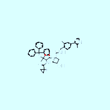 Cc1cc(-c2scnc2C)ccc1CNC(=O)[C@H]1C[C@@H](O)CN1C(=O)[C@@H](NC(=O)C1(F)CC1)C(C)(C)SC(c1ccccc1)(c1ccccc1)c1ccccc1